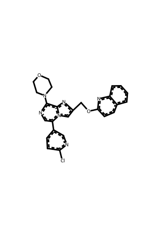 Clc1ccc(-c2cnc(N3CCOCC3)c3nc(COc4ccc5ccccc5n4)cn23)cn1